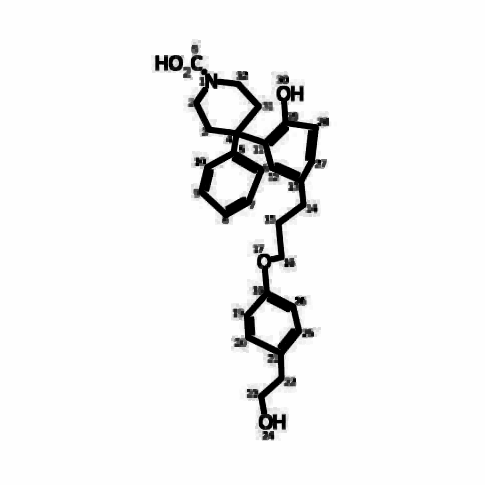 O=C(O)N1CCC(c2ccccc2)(c2cc(CCCOc3ccc(CCO)cc3)ccc2O)CC1